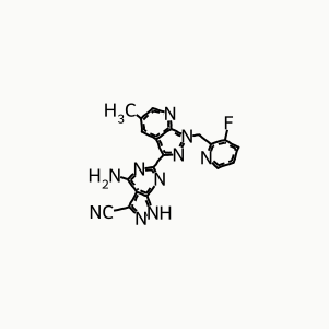 Cc1cnc2c(c1)c(-c1nc(N)c3c(C#N)n[nH]c3n1)nn2Cc1ncccc1F